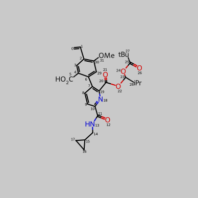 C=Cc1cc(C(=O)O)c(-c2ccc(C(=O)NCC3CC3)nc2C(=O)OC(OC(=O)C(C)(C)C)C(C)C)cc1OC